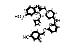 N#Cc1ccc(COc2cccc(NC3CCN(Cc4nc5ccc(C(=O)O)cc5n4C[C@@H]4CCO4)CC3)n2)c(F)c1